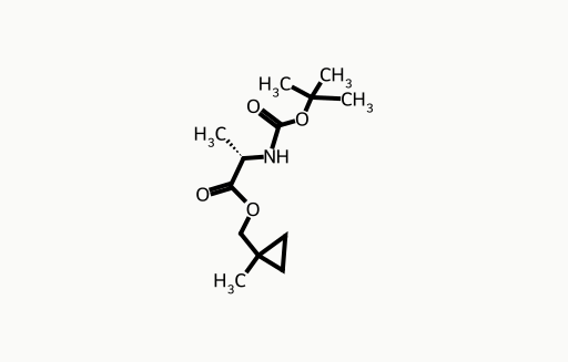 C[C@H](NC(=O)OC(C)(C)C)C(=O)OCC1(C)CC1